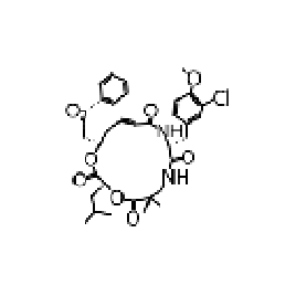 COc1ccc(C[C@H]2NC(=O)/C=C/C[C@@H](C[C@H]3O[C@@H]3c3ccccc3)OC(=O)[C@H](CC(C)C)OC(=O)C(C)(C)CNC2=O)cc1Cl